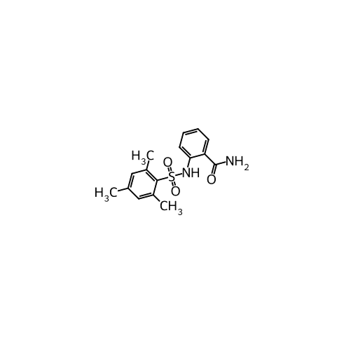 Cc1cc(C)c(S(=O)(=O)Nc2ccccc2C(N)=O)c(C)c1